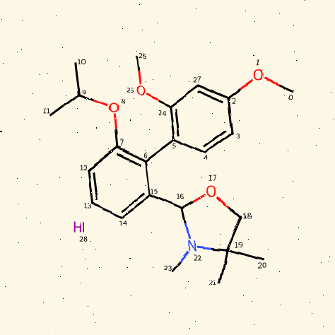 COc1ccc(-c2c(OC(C)C)cccc2C2OCC(C)(C)N2C)c(OC)c1.I